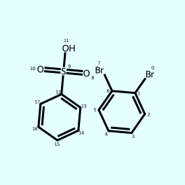 Brc1ccccc1Br.O=S(=O)(O)c1ccccc1